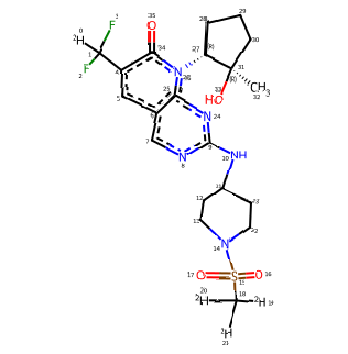 [2H]C(F)(F)c1cc2cnc(NC3CCN(S(=O)(=O)C([2H])([2H])[2H])CC3)nc2n([C@@H]2CCC[C@@]2(C)O)c1=O